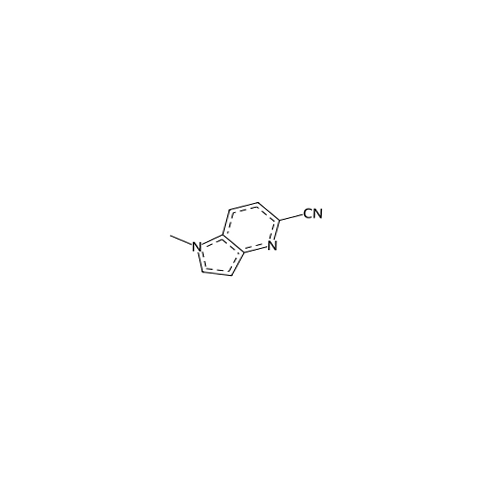 Cn1ccc2nc(C#N)ccc21